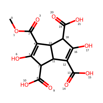 COC(=O)C1=C(O)C(C(=O)O)C2C(C(=O)O)=C(O)C(C(=O)O)C12